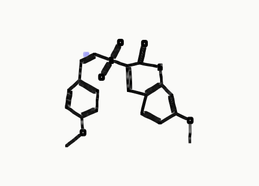 COc1ccc(/C=C\S(=O)(=O)c2cc3ccc(OC)cc3sc2=O)cc1